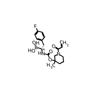 C=CC(=O)N1CCCC(C)(OC(=O)N[C@@H](Cc2ccc(F)cc2)B(O)O)C1